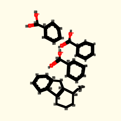 O=C([O-])c1ccccc1.O=C([O-])c1ccccc1.O=C([O-])c1ccccc1.[Ti+3][CH]1CCCC2=C1Cc1ccccc12